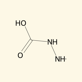 [NH]NC(=O)O